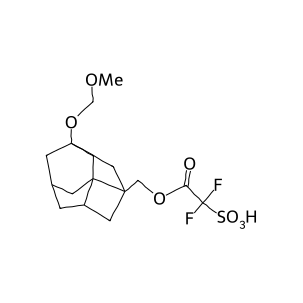 COCOC12CC3CC4CC(COC(=O)C(F)(F)S(=O)(=O)O)(C1)C4(C3)C2